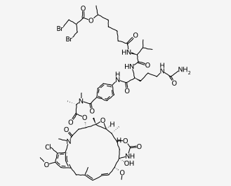 COc1cc2cc(c1Cl)N(C)C(=O)C[C@H](OC(=O)[C@H](C)N(C)C(=O)c1ccc(NC(=O)[C@H](CCCNC(N)=O)NC(=O)[C@@H](NC(=O)CCCCC(C)OC(=O)C(CBr)CBr)C(C)C)cc1)[C@]1(C)O[C@H]1[C@H](C)[C@@H]1C[C@@](O)(NC(=O)O1)[C@H](OC)/C=C/C=C(\C)C2